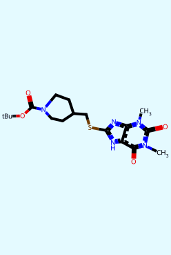 Cn1c(=O)c2[nH]c(SCC3CCN(C(=O)OC(C)(C)C)CC3)nc2n(C)c1=O